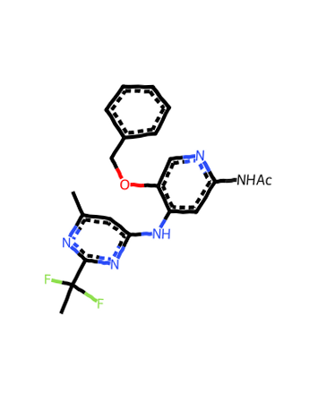 CC(=O)Nc1cc(Nc2cc(C)nc(C(C)(F)F)n2)c(OCc2ccccc2)cn1